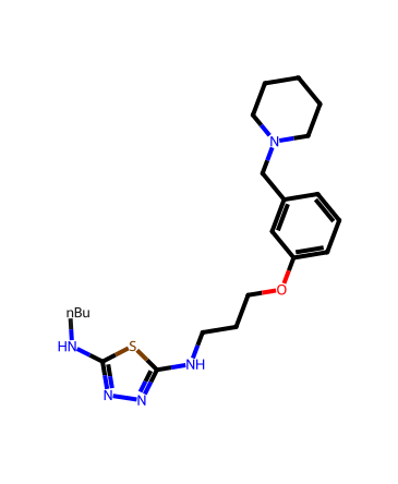 CCCCNc1nnc(NCCCOc2cccc(CN3CCCCC3)c2)s1